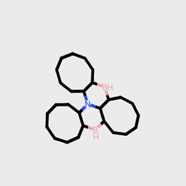 B1C2CCCCCCCC2N2C3CCCCCCCC3BC3CCCCCCC1C32